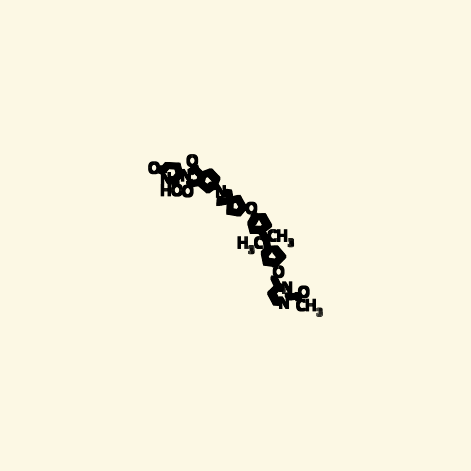 CC(=O)c1nccc(COc2ccc(C(C)(C)c3ccc(OC4CCC5(C4)CN(c4ccc6c(c4)C(=O)N(C4CCC(=O)NC4=O)C6=O)C5)cc3)cc2)n1